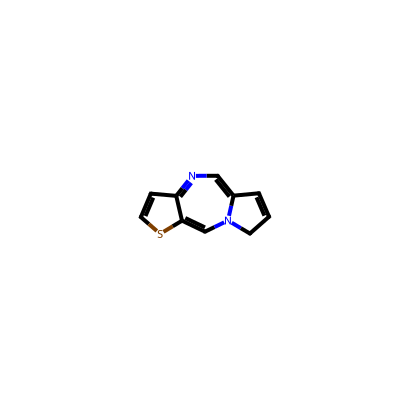 C1=CC2=CN=c3ccsc3=CN2C1